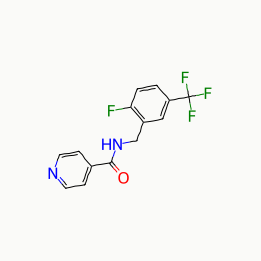 O=C(NCc1cc(C(F)(F)F)ccc1F)c1ccncc1